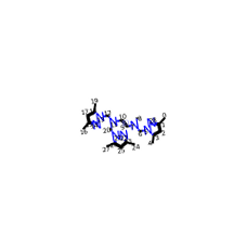 Cc1cc(C)n(CN(C)/C=C/N(Cn2nc(C)cc2C)Cn2nc(C)cc2C)n1